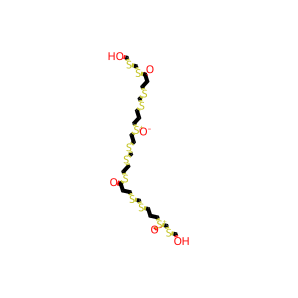 O=C(CCSCSCCC[S+]([O-])CSCO)SCCSCSCC[S+]([O-])CCCSCSCCC(=O)SCSCO